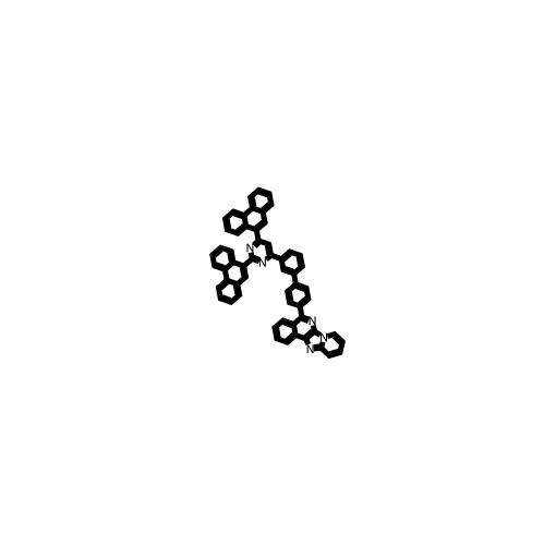 c1cc(-c2ccc(-c3nc4c(nc5ccccn54)c4ccccc34)cc2)cc(-c2cc(-c3cc4ccccc4c4ccccc34)nc(-c3cc4ccccc4c4ccccc34)n2)c1